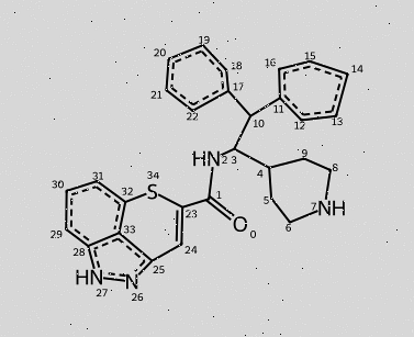 O=C(NC(C1CCNCC1)C(c1ccccc1)c1ccccc1)C1=Cc2n[nH]c3cccc(c23)S1